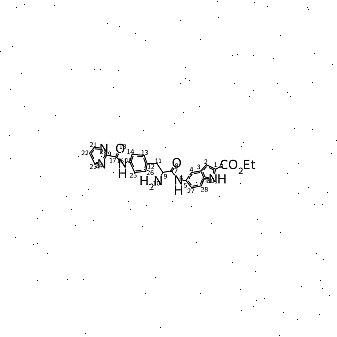 CCOC(=O)c1cc2cc(NC(=O)C(N)Cc3ccc(NC(=O)c4ncccn4)cc3)ccc2[nH]1